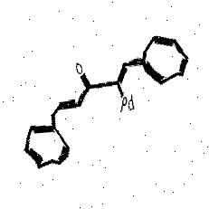 O=C(C=Cc1ccccc1)[C]([Pd])=Cc1ccccc1